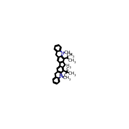 CC(C)c1c2c(cc3c1N(C)c1ccccc1C3)-c1cc3c(c(C(C)(C)C)c1C2)N(C)c1ccccc1C3